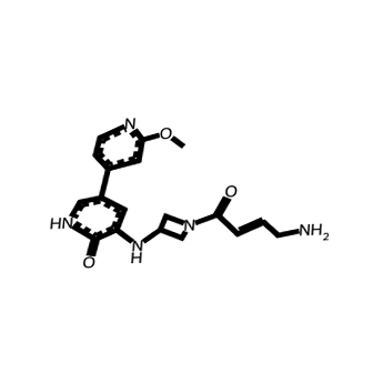 COc1cc(-c2c[nH]c(=O)c(NC3CN(C(=O)/C=C/CN)C3)c2)ccn1